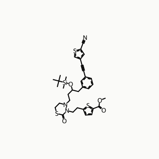 COC(=O)c1ccc(CCN2C(=O)SCCN2CCC(Cc2cccc(C#Cc3csc(C#N)c3)c2)O[Si](C)(C)C(C)(C)C)s1